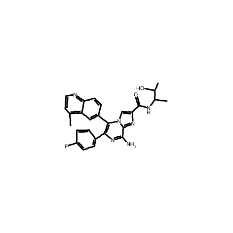 Cc1ccnc2ccc(-c3c(-c4ccc(F)cc4)nc(N)c4nc(C(=O)NC(C)C(C)O)cn34)cc12